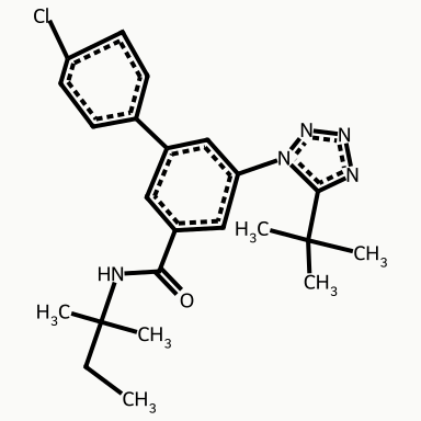 CCC(C)(C)NC(=O)c1cc(-c2ccc(Cl)cc2)cc(-n2nnnc2C(C)(C)C)c1